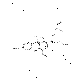 COCCN(CCCC(=O)OC)c1cc(C)nc2c(-c3ccc(OC)cc3OC)c(C)nn12